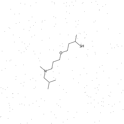 CC(C)CN(C)CCCOCCC(C)S